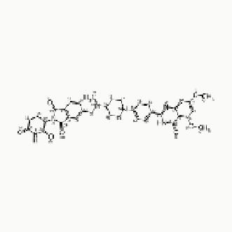 COc1cc(OC)c2c(=O)[nH]c(-c3ccc(N4CCC(N(C)Cc5ccc6c(c5)C(=O)N(C5CCC(=O)NC5=O)C6=O)CC4)cc3)nc2c1